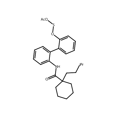 CC(=O)OSOc1ccccc1-c1ccccc1NC(=O)C1(CCC(C)C)CCCCC1